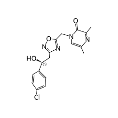 Cc1cn(Cc2nc(C[C@H](O)c3ccc(Cl)cc3)no2)c(=O)c(C)n1